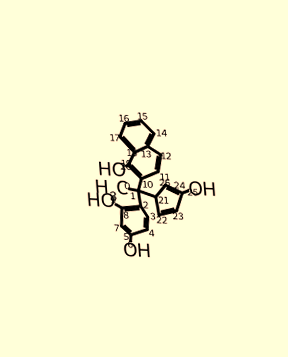 CC(c1ccc(O)cc1O)(c1ccc2ccccc2c1O)C1C=CC(O)=C1